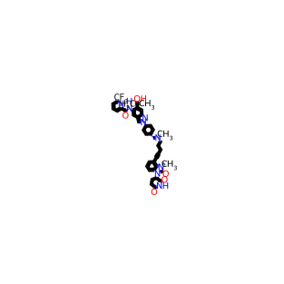 CN(CCCC#Cc1cccc2c1n(C)c(=O)n2C1CCC(=O)NC1=O)C[C@H]1CC[C@H](n2cc3cc(NC(=O)c4cccc(C(F)(F)F)n4)c(C(C)(C)O)cc3n2)CC1